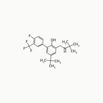 CC(C)(C)NCc1cc(C(C)(C)C)cc(-c2ccc(F)c(C(F)(F)F)c2)c1O